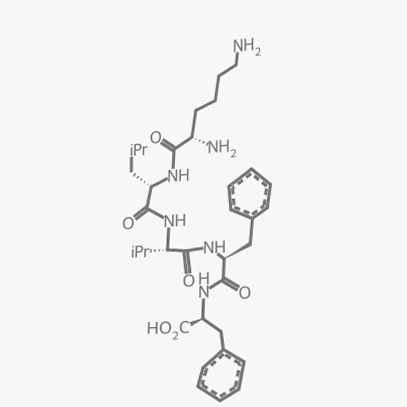 CC(C)C[C@H](NC(=O)[C@@H](N)CCCCN)C(=O)N[C@H](C(=O)N[C@@H](Cc1ccccc1)C(=O)N[C@@H](Cc1ccccc1)C(=O)O)C(C)C